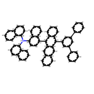 c1ccc(-c2cc(-c3ccccc3)cc(-c3c4ccccc4c(-c4ccc(N(c5cccc6ccccc56)c5cccc6ccccc56)c5ccccc45)c4cc5ccccc5cc34)c2)cc1